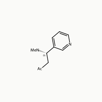 CN[C@@H](CC(C)=O)c1cccnc1